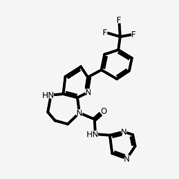 O=C(Nc1cnccn1)N1CCCNc2ccc(-c3cccc(C(F)(F)F)c3)nc21